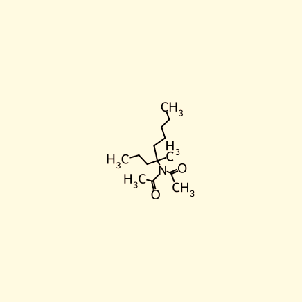 CCCCCC(C)(CCC)N(C(C)=O)C(C)=O